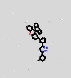 CC1C=C(C(=N)/C=C\C(=N)c2cccc(-c3ccc4c(c3)C3(c5ccccc5O4)c4ccccc4-c4ccccc43)c2)C=CC1